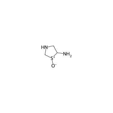 NC1CNC[S+]1[O-]